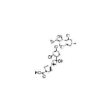 O=C(O)c1ccc(N2CC(O)(c3ccc(OCc4c(-c5c(Cl)cc(F)cc5Cl)noc4C4CC4)cc3Cl)C2)nc1